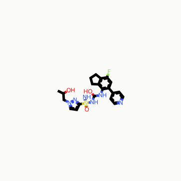 CC(O)Cn1ccc(S(=N)(=O)NC(O)Nc2c(-c3ccncc3)cc(F)c3c2CCC3)n1